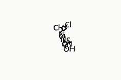 Oc1ccc(N2CCN(Cc3ccc(Cl)cc3Cl)CC2)c2scnc12